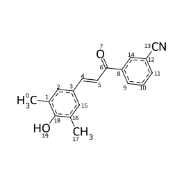 Cc1cc(/C=C/C(=O)c2cccc(C#N)c2)cc(C)c1O